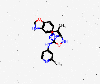 CC1=C2NOC(Nc3ccnc(C)c3)(N=C1)N2c1ccc2c(c1)NCO2